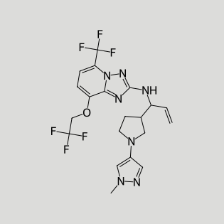 C=CC(Nc1nc2c(OCC(F)(F)F)ccc(C(F)(F)F)n2n1)C1CCN(c2cnn(C)c2)C1